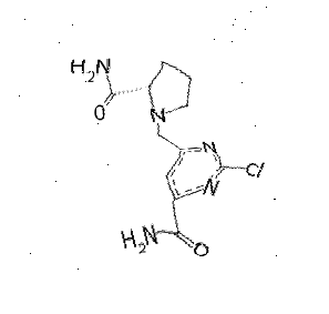 NC(=O)c1cc(CN2CCC[C@H]2C(N)=O)nc(Cl)n1